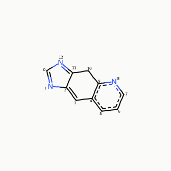 C1=NC2=Cc3cccnc3CC2=N1